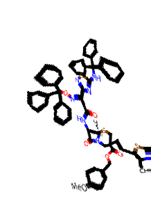 COc1ccc(COC(=O)C2(C=Cc3scnc3C)CS[C@@H]3C(NC(=O)C(=NOC(c4ccccc4)(c4ccccc4)c4ccccc4)c4nsc(NC(c5ccccc5)(c5ccccc5)c5ccccc5)n4)C(=O)N3C2)cc1